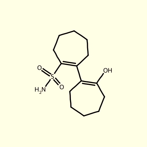 NS(=O)(=O)C1=C(C2=C(O)CCCCC2)CCCCC1